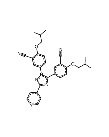 CC(C)COc1ccc(-c2nc(-c3ccncc3)nn2-c2ccc(OCC(C)C)c(C#N)c2)cc1C#N